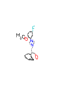 COc1ccc(F)cc1N1CCN(CCC(C=O)c2ccccc2)CC1